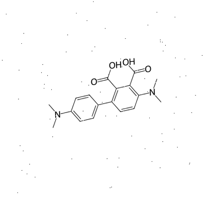 CN(C)c1ccc(-c2ccc(N(C)C)c(C(=O)O)c2C(=O)O)cc1